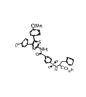 COc1ccc(-c2sc(NC(=O)c3ccc(S(=O)(=O)N[C@@H](Cc4ccccc4)C(=O)O)cc3)nc2-c2ccc(Cl)cc2)cc1